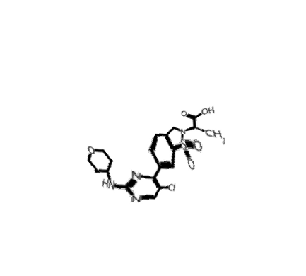 C[C@H](C(=O)O)N1Cc2ccc(-c3nc(NC4CCOCC4)ncc3Cl)cc2S1(=O)=O